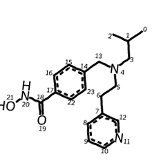 CC(C)CN(CCc1cccnc1)Cc1ccc(C(=O)NO)cc1